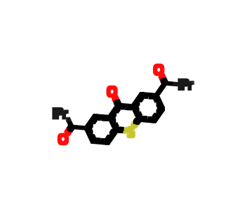 CC(C)C(=O)c1ccc2sc3ccc(C(=O)C(C)C)cc3c(=O)c2c1